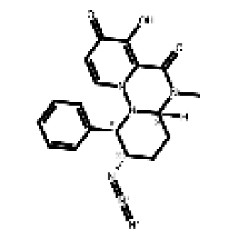 CN1C(=O)c2c(O)c(=O)ccn2N2[C@H](c3ccccc3)[C@@H](N=[N+]=[N-])CC[C@@H]12